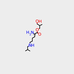 CC(C)CNCCCC[C@H](N)C(=O)OCC(C)CO